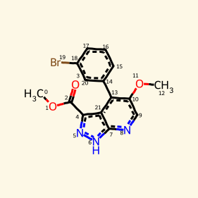 COC(=O)c1n[nH]c2ncc(OC)c(-c3cccc(Br)c3)c12